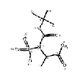 CC(C(=O)O)N(C(=O)OC(C)(C)C)S(=O)(=O)Cl